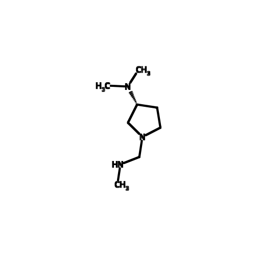 CNCN1CC[C@@H](N(C)C)C1